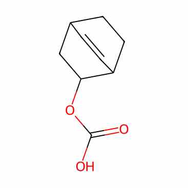 O=C(O)OC1CC2C=CC1CC2